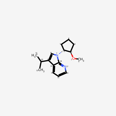 CO[C@@H]1CCC[C@H]1n1cc(C(C)C)c2cccnc21